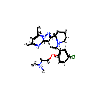 C=C(c1cc(Cl)ccc1OCCN(C)CCC)N1CCCCC1c1cc2nc(C)cc(C)n2n1